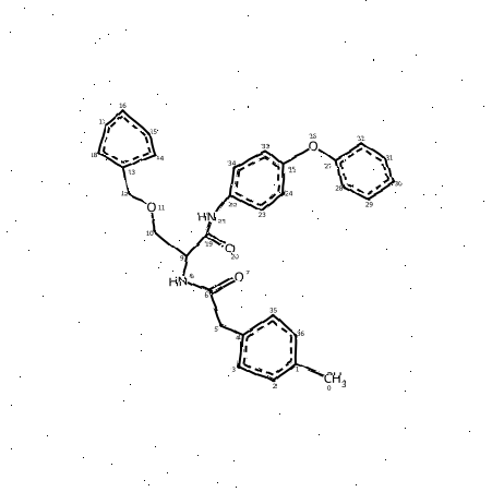 Cc1ccc(CC(=O)NC(COCc2ccccc2)C(=O)Nc2ccc(Oc3ccccc3)cc2)cc1